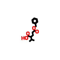 CC(C)C(CCC(=O)OCc1ccccc1)C(=O)O